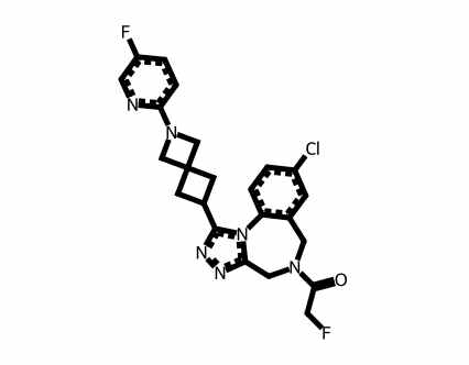 O=C(CF)N1Cc2cc(Cl)ccc2-n2c(nnc2C2CC3(C2)CN(c2ccc(F)cn2)C3)C1